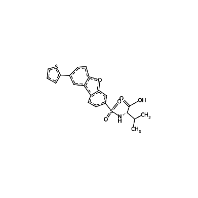 CC(C)[C@H](NS(=O)(=O)c1ccc2c(c1)oc1ccc(-c3cccs3)cc12)C(=O)O